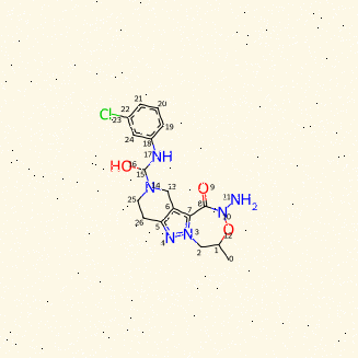 CC1Cn2nc3c(c2C(=O)N(N)O1)CN(C(O)Nc1cccc(Cl)c1)CC3